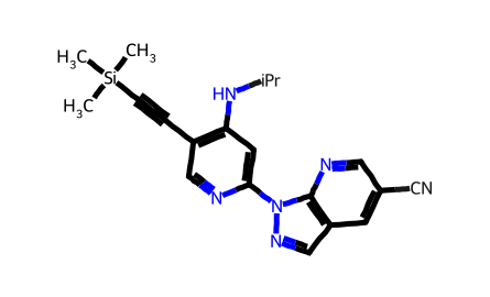 CC(C)Nc1cc(-n2ncc3cc(C#N)cnc32)ncc1C#C[Si](C)(C)C